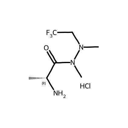 C[C@@H](N)C(=O)N(C)N(C)CC(F)(F)F.Cl